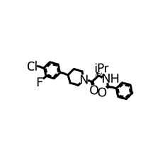 CC(C)[C@@H](NC(=O)c1ccccc1)C(=O)N1CCC(c2ccc(Cl)c(F)c2)CC1